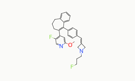 COc1cc(C2=C(c3ccc(C=C4CN(CCCF)C4)cc3)c3ccccc3CCC2)c(F)cn1